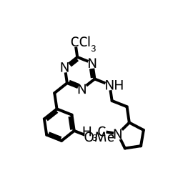 COc1cccc(Cc2nc(NCCC3CCCN3C)nc(C(Cl)(Cl)Cl)n2)c1